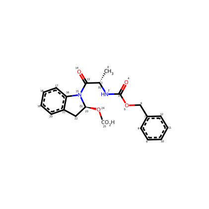 C[C@H](NC(=O)OCc1ccccc1)C(=O)N1c2ccccc2C[C@@H]1OC(=O)O